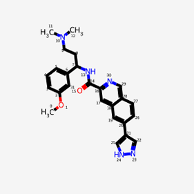 COc1cccc(C(CCN(C)C)NC(=O)c2cc3cc(-c4cn[nH]c4)ccc3cn2)c1